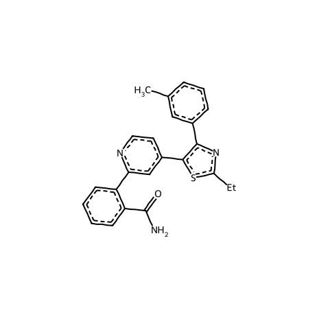 CCc1nc(-c2cccc(C)c2)c(-c2ccnc(-c3ccccc3C(N)=O)c2)s1